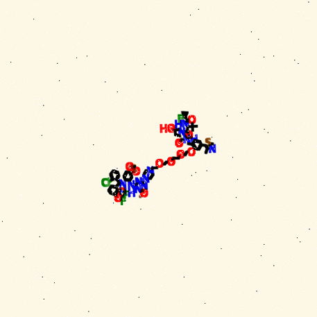 COc1nc(Nc2cc(S(C)(=O)=O)ccc2N[C@H](c2ccccc2Cl)c2cccc3c2OC(F)(F)O3)nc(N2CCN(CCOCCOCCOCCOc3cc(-c4scnc4C)ccc3CNC(=O)[C@@H]3C[C@@H](O)CN3C(=O)[C@@H](NC(=O)C3(F)CC3)C(C)(C)C)CC2)n1